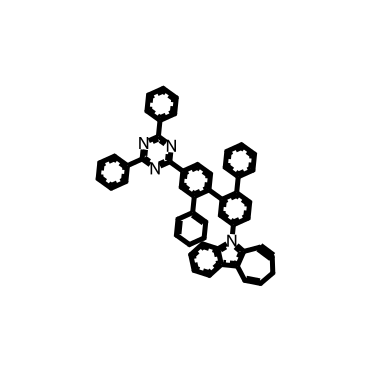 C1#Cc2c(c3ccccc3n2-c2ccc(-c3ccccc3)c(-c3ccc(-c4nc(-c5ccccc5)nc(-c5ccccc5)n4)cc3C3=CCCC=C3)c2)C=CC1